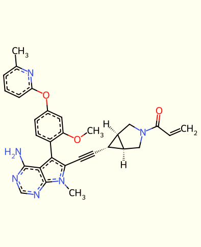 C=CC(=O)N1C[C@@H]2[C@@H](C#Cc3c(-c4ccc(Oc5cccc(C)n5)cc4OC)c4c(N)ncnc4n3C)[C@@H]2C1